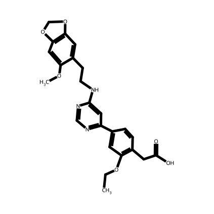 CCOc1cc(-c2cc(NCCc3cc4c(cc3OC)OCO4)ncn2)ccc1CC(=O)O